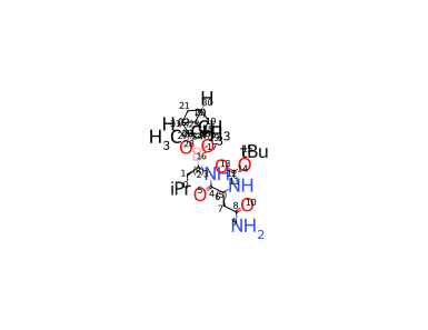 CC(C)C[C@H](NC(=O)[C@H](CC(N)=O)NC(=O)OC(C)(C)C)B1O[C@@H]2C[C@@H]3C[C@@H](C3(C)C)[C@]2(C)O1